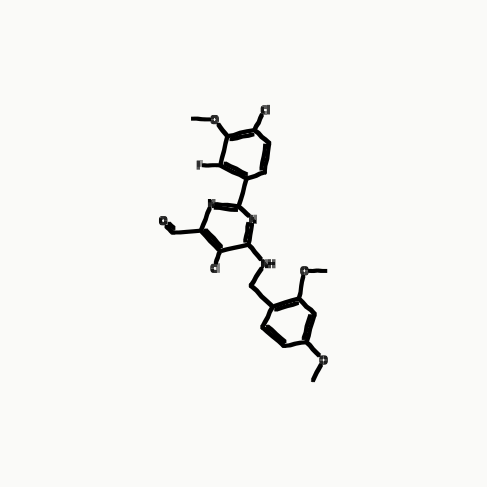 COc1ccc(CNc2nc(-c3ccc(Cl)c(OC)c3F)nc(C=O)c2Cl)c(OC)c1